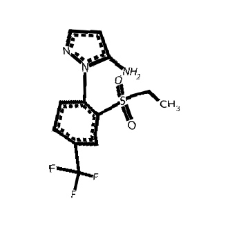 CCS(=O)(=O)c1cc(C(F)(F)F)ccc1-n1nccc1N